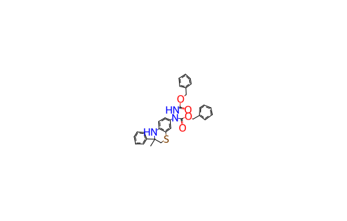 CC1(c2ccccc2)CSc2cc(N(NC(=O)OCc3ccccc3)C(=O)OCc3ccccc3)ccc2N1